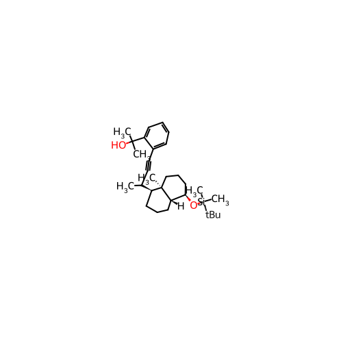 CC(C#Cc1ccccc1C(C)(C)O)[C@@H]1CCC[C@H]2[C@H](O[Si](C)(C)C(C)(C)C)CCC[C@]12C